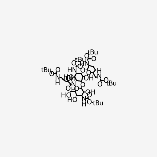 CC(C)(C)OC(=O)NCC[C@H](O)C(=O)N[C@@H]1C(O)[C@@H](NC(=O)OC(C)(C)C)C(O[C@H]2OC(CNC(=O)OC(C)(C)C)CCC2NC(=O)OC(C)(C)C)C(O)[C@H]1O[C@H]1OC(CO)[C@@H](O)[C@H](NC(=O)OC(C)(C)C)C1O